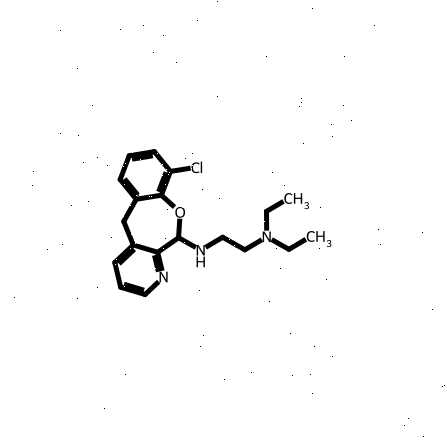 CCN(CC)CCNC1Oc2c(Cl)cccc2Cc2cccnc21